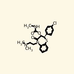 CNC(=O)O[C@@H]1C(=O)N(CCN(C)C)c2ccccc2S[C@@H]1c1ccc(Cl)cc1